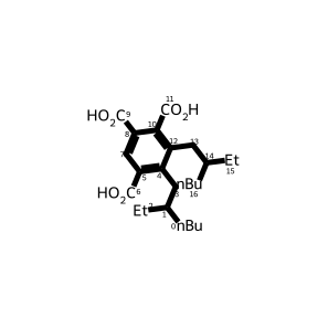 CCCCC(CC)Cc1c(C(=O)O)cc(C(=O)O)c(C(=O)O)c1CC(CC)CCCC